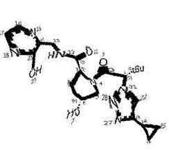 CC(C)(C)[C@@H](C(=O)N1C[C@H](O)C[C@H]1C(=O)NCc1nccnc1O)n1cc(C2CC2)nn1